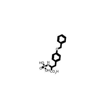 O=C(O)C(Cc1ccc(OCc2ccccc2)cc1)NP(=O)(O)O